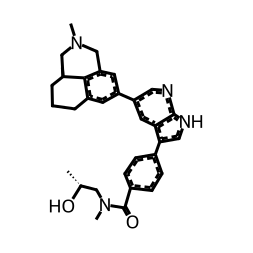 C[C@@H](O)CN(C)C(=O)c1ccc(-c2c[nH]c3ncc(-c4cc5c6c(c4)CN(C)CC6(C)CCC5)cc23)cc1